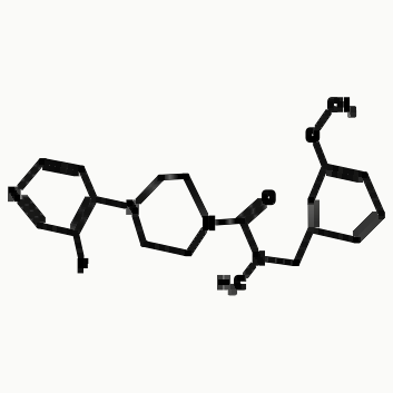 COc1cccc(CN(C)C(=O)N2CCN(c3ccncc3F)CC2)c1